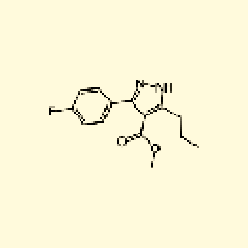 CCCc1[nH]nc(-c2ccc(F)cc2)c1C(=O)OC